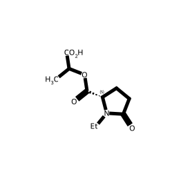 CCN1C(=O)CC[C@H]1C(=O)OC(C)C(=O)O